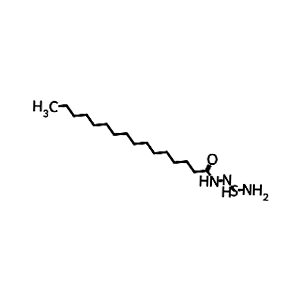 CCCCCCCCCCCCCCCC(=O)NNSN